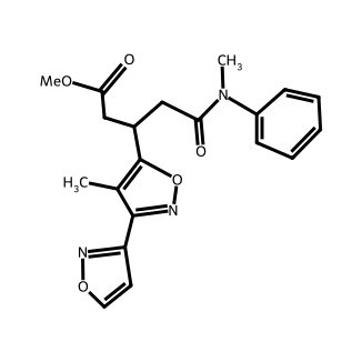 COC(=O)CC(CC(=O)N(C)c1ccccc1)c1onc(-c2ccon2)c1C